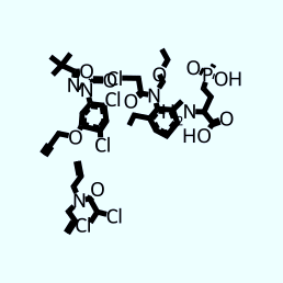 C#CCOc1cc(-n2nc(C(C)(C)C)oc2=O)c(Cl)cc1Cl.C=CCN(CC=C)C(=O)C(Cl)Cl.CCOCN(C(=O)CCl)c1c(C)cccc1CC.CP(=O)(O)CCC(N)C(=O)O